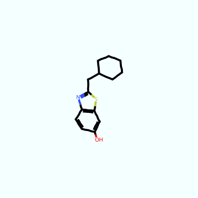 Oc1ccc2nc(CC3CCCCC3)sc2c1